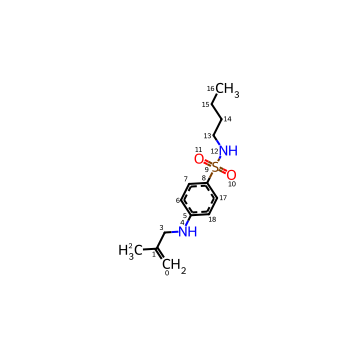 C=C(C)CNc1ccc(S(=O)(=O)NCCCC)cc1